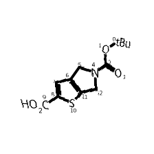 CC(C)(C)OC(=O)N1Cc2cc(C(=O)O)sc2C1